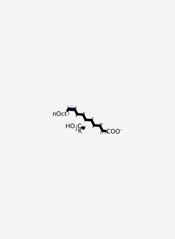 CC(=O)O.CCCCCCCC/C=C\CCCCCCCC(=O)[O-].[K+]